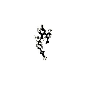 COc1cnc(C2CC2)cc1-c1cc(C)ncc1C(=O)Nc1nc2ncc(C3CC(C#N)C3)nc2s1